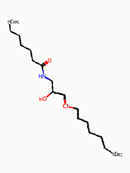 CCCCCCCCCCCCCCCCOCC(O)CNC(=O)CCCCCCCCCCCCCCC